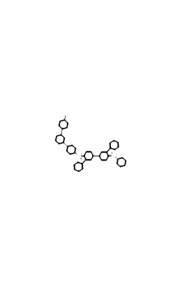 Cc1ccc(-c2cccc(-c3ccc(-n4c5ccccc5c5cc(-c6ccc7c(c6)c6ccccc6n7-c6ccccc6)ccc54)cc3)c2)cc1